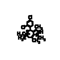 CC1=C2C(=C(C)NN2C)C(c2ccc(Cl)cc2Cl)S[N+](C)(C)C1